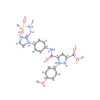 COC(=O)c1cc(C(=O)Nc2ccc(-n3ccnc3CN(C)S(C)(=O)=O)cc2)n(-c2ccc(OC)cc2)n1